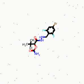 CCC(C)(C)C(OC(N)=O)C(=O)NNCc1c(F)cc(Br)cc1F